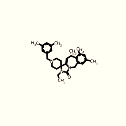 CCN1C(=O)N2Cc3cc(C)cc(C)c3[C@@H](C)C=C2C12CCN(Cc1cc(C)cc(C)c1)CC2